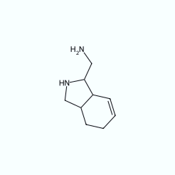 NCC1NCC2CCC=CC21